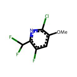 COc1cc(F)c(C(F)F)nc1Cl